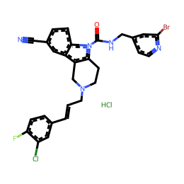 Cl.N#Cc1ccc2c(c1)c1c(n2C(=O)NCc2ccnc(Br)c2)CCN(C/C=C/c2ccc(F)c(Cl)c2)C1